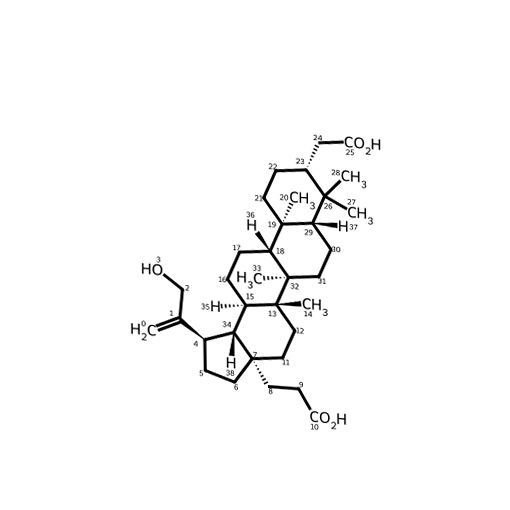 C=C(CO)[C@@H]1CC[C@]2(CCC(=O)O)CC[C@]3(C)[C@H](CC[C@@H]4[C@@]5(C)CC[C@H](CC(=O)O)C(C)(C)[C@@H]5CC[C@]43C)[C@@H]12